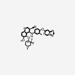 COc1ccc2ncc(C#N)c(Nc3ccc(Oc4cc5ncnn5cn4)c(C)c3)c2c1O[C@@H]1CCN(C)CC1(F)F